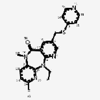 CCN1c2ncc(CSc3ccncc3)cc2C(=O)N(C)c2ccc(F)nc21